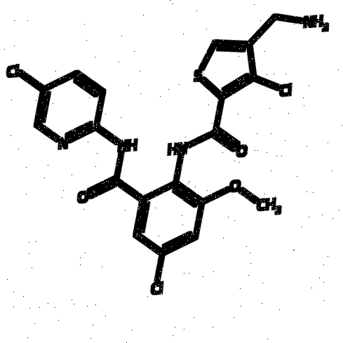 COc1cc(Cl)cc(C(=O)Nc2ccc(Cl)cn2)c1NC(=O)c1scc(CN)c1Cl